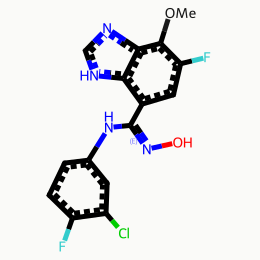 COc1c(F)cc(/C(=N\O)Nc2ccc(F)c(Cl)c2)c2[nH]cnc12